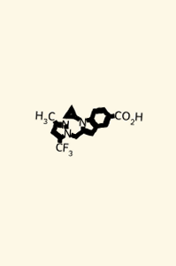 Cc1cc(C(F)(F)F)n(Cc2cc3cc(C(=O)O)ccc3n2C2CC2)n1